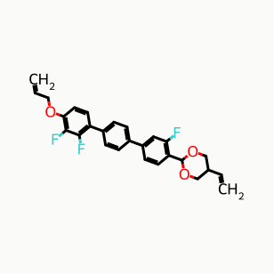 C=CCOc1ccc(-c2ccc(-c3ccc(C4OCC(C=C)CO4)c(F)c3)cc2)c(F)c1F